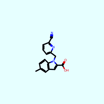 Cc1ccc2c(c1)cc(C(=O)O)n2Cc1cccc(C#N)n1